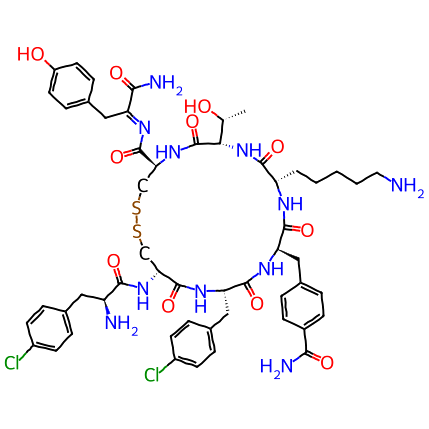 C[C@@H](O)[C@@H]1NC(=O)[C@H](CCCCCN)NC(=O)[C@@H](Cc2ccc(C(N)=O)cc2)NC(=O)[C@H](Cc2ccc(Cl)cc2)NC(=O)[C@H](NC(=O)[C@@H](N)Cc2ccc(Cl)cc2)CSSC[C@@H](C(=O)/N=C(\Cc2ccc(O)cc2)C(N)=O)NC1=O